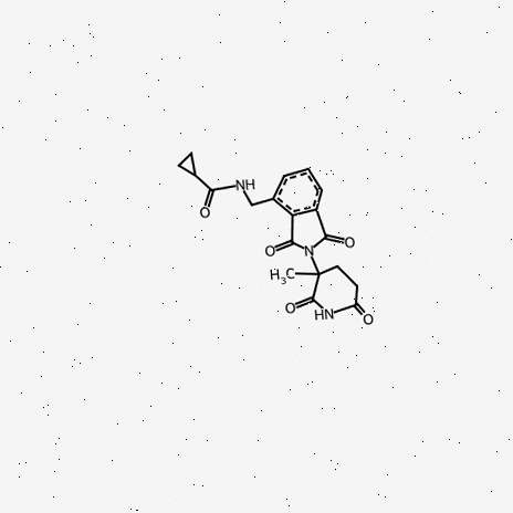 CC1(N2C(=O)c3cccc(CNC(=O)C4CC4)c3C2=O)CCC(=O)NC1=O